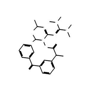 CC(C)N=C(N=C(N(C)C)N(C)C)N(OC(=O)C(C)c1cccc(C(=O)c2ccccc2)c1)C(C)C